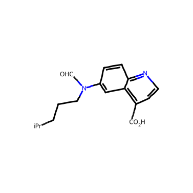 CC(C)CCCN(C=O)c1ccc2nccc(C(=O)O)c2c1